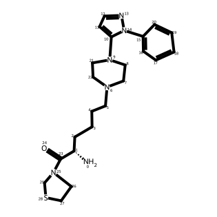 N[C@@H](CCCCN1CCN(c2ccnn2-c2ccccc2)CC1)C(=O)N1CCSC1